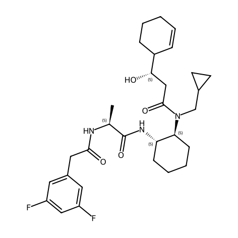 C[C@H](NC(=O)Cc1cc(F)cc(F)c1)C(=O)N[C@H]1CCCC[C@@H]1N(CC1CC1)C(=O)C[C@H](O)C1C=CCCC1